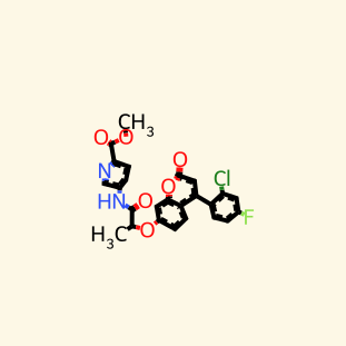 COC(=O)c1ccc(NC(=O)C(C)Oc2ccc3c(-c4ccc(F)cc4Cl)cc(=O)oc3c2)cn1